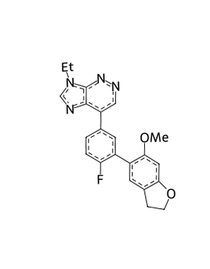 CCn1cnc2c(-c3ccc(F)c(-c4cc5c(cc4OC)OCC5)c3)cnnc21